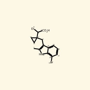 CCC(C(=O)O)C1(Cc2c(C)[nH]c3c(Br)cccc23)CC1